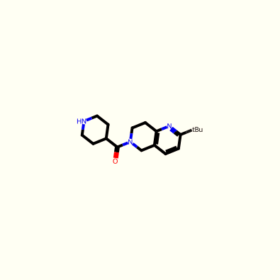 CC(C)(C)c1ccc2c(n1)CCN(C(=O)C1CCNCC1)C2